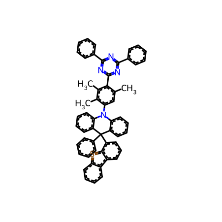 Cc1cc(N2c3ccccc3C(c3ccccc3)(c3cccc4c3sc3ccccc34)c3ccccc32)c(C)c(C)c1-c1nc(-c2ccccc2)nc(-c2ccccc2)n1